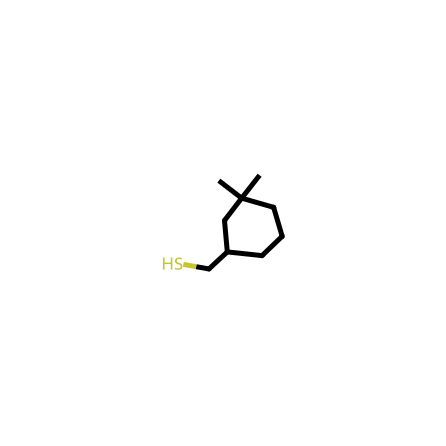 CC1(C)CCCC(CS)C1